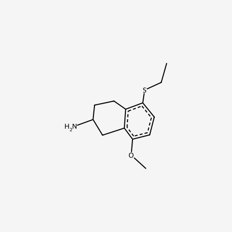 CCSc1ccc(OC)c2c1CCC(N)C2